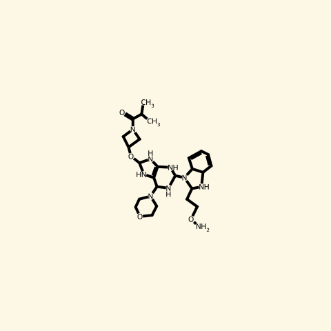 CC(C)C(=O)N1CC(OC2NC3=C(N2)C(N2CCOCC2)NC(N2C(CCON)NC4C=CC=CC42)N3)C1